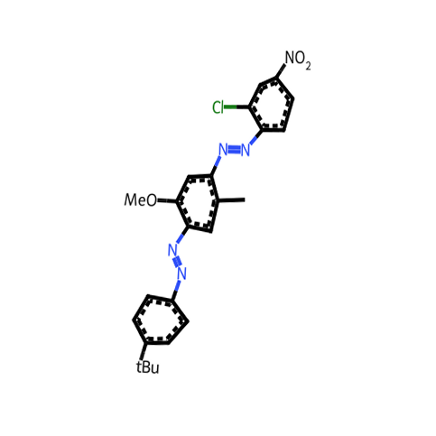 COc1cc(N=Nc2ccc([N+](=O)[O-])cc2Cl)c(C)cc1N=Nc1ccc(C(C)(C)C)cc1